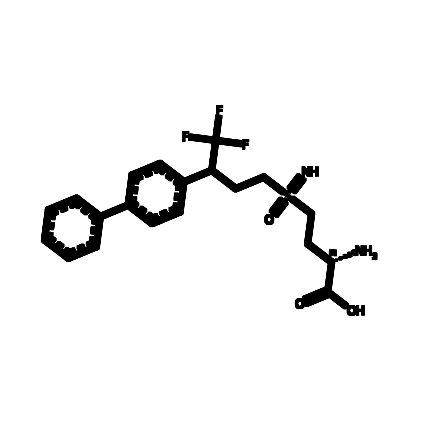 N=S(=O)(CCC(c1ccc(-c2ccccc2)cc1)C(F)(F)F)CC[C@H](N)C(=O)O